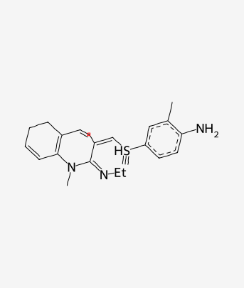 C#[SH](/C=C(C)\C(=N/CC)N(C)C1=C(C=C)CCC=C1)c1ccc(N)c(C)c1